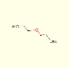 CC(=O)OCCOCCOC(C)=O